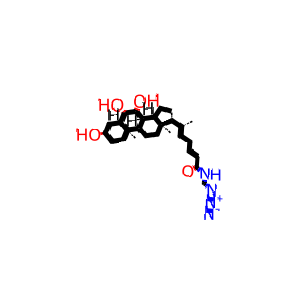 C[C@H](CC/C=C/C(=O)NCN=[N+]=[N-])[C@H]1CC[C@H]2[C@@H]3C(O)C(O)[C@@H]4C[C@H](O)CC[C@]4(C)C3CC[C@]12C